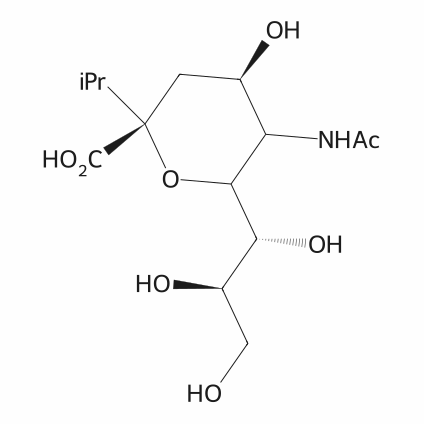 CC(=O)NC1C([C@H](O)[C@H](O)CO)O[C@](C(=O)O)(C(C)C)C[C@H]1O